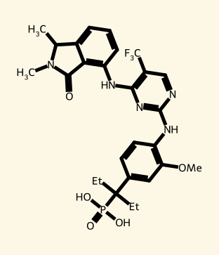 CCC(CC)(c1ccc(Nc2ncc(C(F)(F)F)c(Nc3cccc4c3C(=O)N(C)C4C)n2)c(OC)c1)P(=O)(O)O